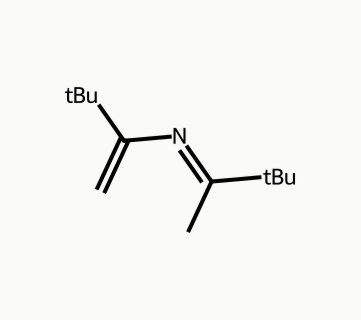 C=C(/N=C(\C)C(C)(C)C)C(C)(C)C